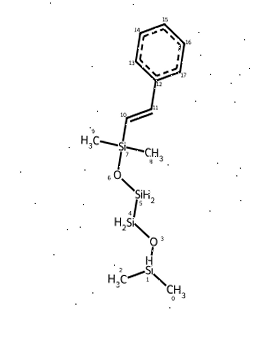 C[SiH](C)O[SiH2][SiH2]O[Si](C)(C)C=Cc1ccccc1